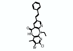 CCN1c2ncc(C=Cc3ccccc3)cc2C(=O)Nc2c1nc(Cl)c(Br)c2C